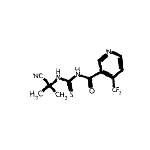 CC(C)(C#N)NC(=S)NC(=O)c1cnccc1C(F)(F)F